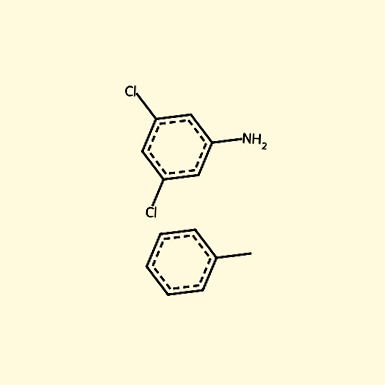 Cc1ccccc1.Nc1cc(Cl)cc(Cl)c1